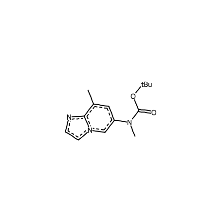 Cc1cc(N(C)C(=O)OC(C)(C)C)cn2ccnc12